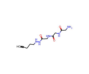 C#CCCCNNC(=O)CNC(=O)CNC(=O)CN